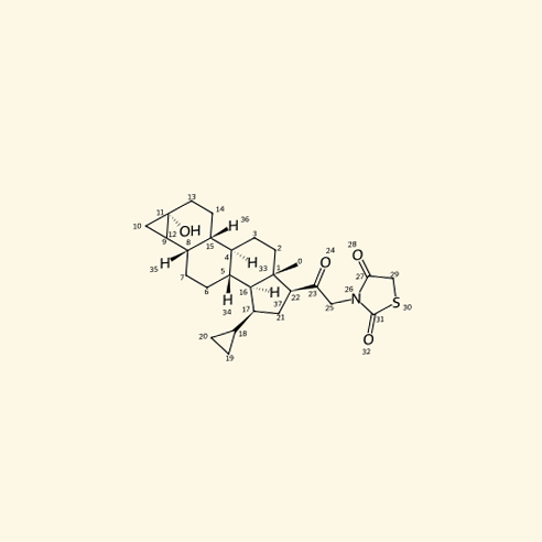 C[C@]12CC[C@H]3[C@@H](CC[C@@H]4C5C[C@@]5(O)CC[C@H]34)[C@@H]1[C@H](C1CC1)C[C@@H]2C(=O)CN1C(=O)CSC1=O